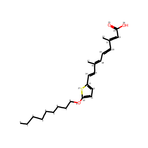 CCCCCCCCCOc1ccc(/C=C/C(C)=C/C=C/C(C)=C/C(=O)O)s1